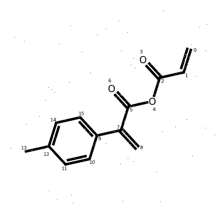 C=CC(=O)OC(=O)C(=C)c1ccc(C)cc1